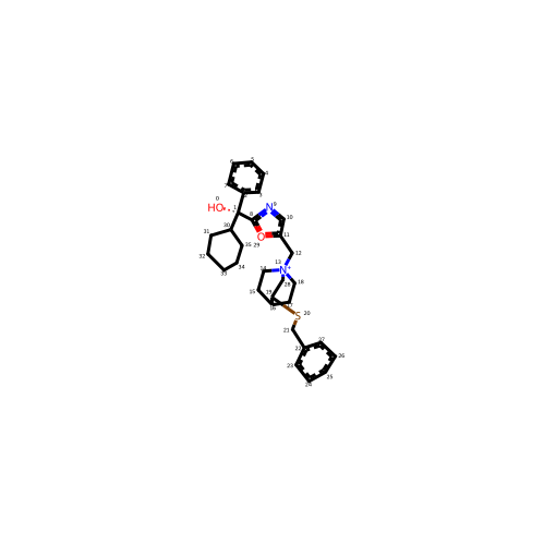 O[C@](c1ccccc1)(c1ncc(C[N+]23CCC(CC2)C(SCc2ccccc2)C3)o1)C1CCCCC1